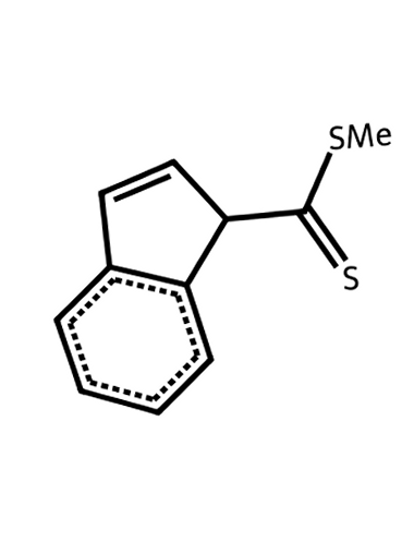 CSC(=S)C1C=Cc2ccccc21